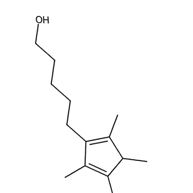 CC1=C(C)C(C)C(C)=C1CCCCCO